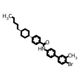 CCCCC[C@H]1CC[C@H](c2ccc(C(=O)Nc3ccc(-c4ccc(Br)c(C)c4)cc3)cc2)CC1